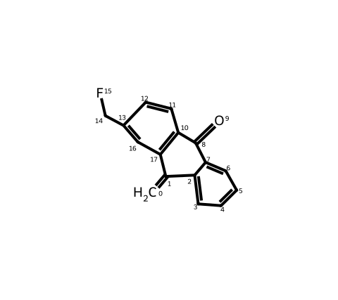 C=C1c2ccccc2C(=O)c2ccc(CF)cc21